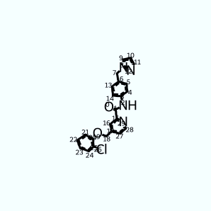 O=C(Nc1ccc(Cn2cccn2)cc1)c1cc(COc2ccccc2Cl)ccn1